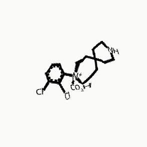 O=C(O)[N+]1(c2cccc(Cl)c2Cl)CCC2(CCNCC2)CC1